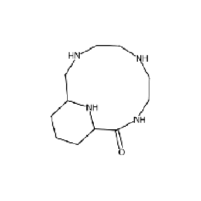 O=C1NCCNCCNCC2CCCC1N2